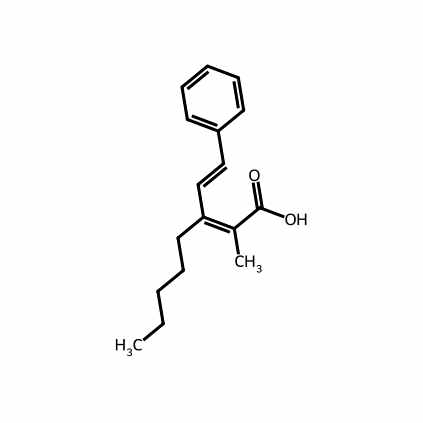 CCCCCC(C=Cc1ccccc1)=C(C)C(=O)O